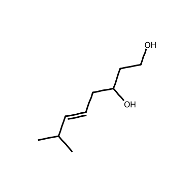 CC(C)C=CCC(O)CCO